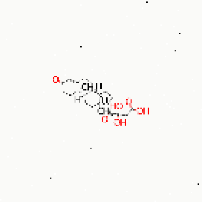 C[C@]12CC[C@H]3[C@@H](CCC4=CC(=O)CC[C@@]43C)[C@@H]1CC[C@@H]2C(=O)C(O)(O)CC(=O)O